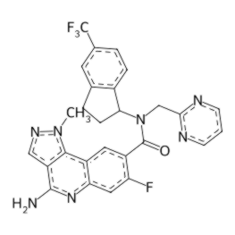 Cn1ncc2c(N)nc3cc(F)c(C(=O)N(Cc4ncccn4)C4CCc5cc(C(F)(F)F)ccc54)cc3c21